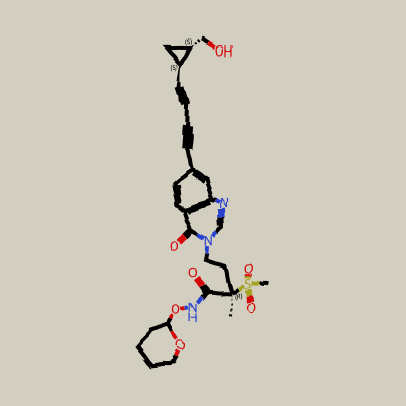 C[C@@](CCn1cnc2cc(C#CC#C[C@H]3C[C@@H]3CO)ccc2c1=O)(C(=O)NOC1CCCCO1)S(C)(=O)=O